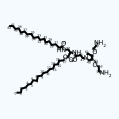 CCCCCCCCCCCCCCCCCCOC(=O)C(CNC(=O)CCCCCCCCCCCCCCCCC)NC(=O)CCN1C[C@@H](COCCN)[C@@H](OCCN)C1